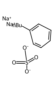 CCCCc1ccccc1.O=S(=O)([O-])[O-].[Na+].[Na+]